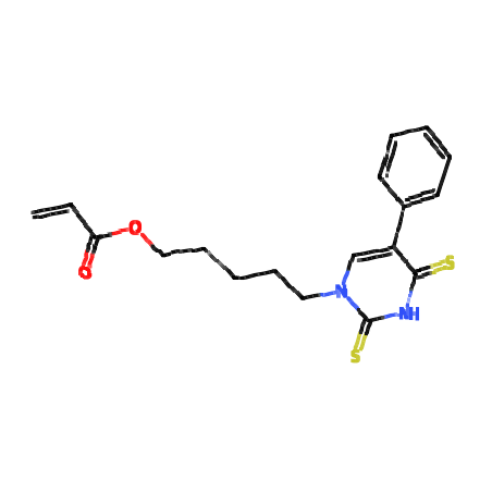 C=CC(=O)OCCCCCn1cc(-c2ccccc2)c(=S)[nH]c1=S